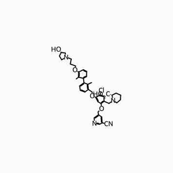 Cc1c(COc2cc(OCc3cncc(C#N)c3)c(CN3CCCC[C@H]3C(=O)O)cc2Cl)cccc1-c1cccc(OCCCN2CC[C@H](O)C2)c1C